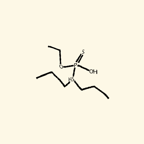 CCC[SH](CCC)P(O)(=S)OCC